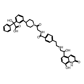 O=C(NCC(=O)N1CCC(c2cccc(C(O)(C(=O)O)c3ccccc3)c2)CC1)c1ccc(CCNCC(O)c2ccc(O)c3[nH]c(=O)ccc23)cc1